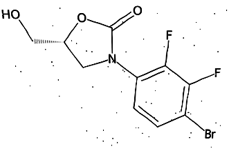 O=C1O[C@@H](CO)CN1c1ccc(Br)c(F)c1F